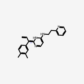 C=C/C(=C1/N=CC=C(NCCc2ccccn2)N1)c1ccc(C)c(C)c1